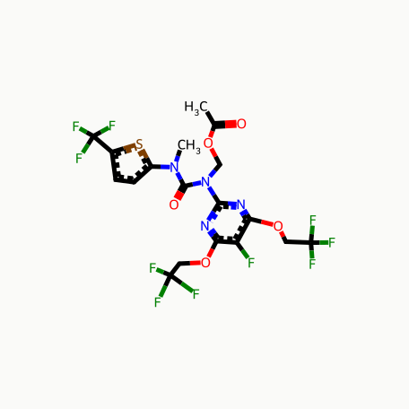 CC(=O)OCN(C(=O)N(C)c1ccc(C(F)(F)F)s1)c1nc(OCC(F)(F)F)c(F)c(OCC(F)(F)F)n1